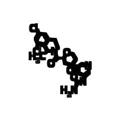 C[C@H]1c2c(Cl)cc(Cl)cc2CCN1C(=O)[C@@H]1C[C@](O)(c2cncc3nc(N)oc23)CCO1